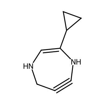 C1#CNC(C2CC2)=CNC1